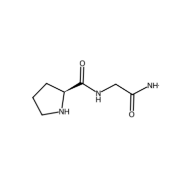 [NH]C(=O)CNC(=O)[C@@H]1CCCN1